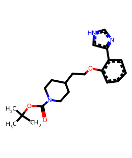 CC(C)(C)OC(=O)N1CCC(CCOc2ccccc2-c2c[nH]cn2)CC1